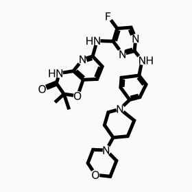 CC1(C)Oc2ccc(Nc3nc(Nc4ccc(N5CCC(N6CCOCC6)CC5)cc4)ncc3F)nc2NC1=O